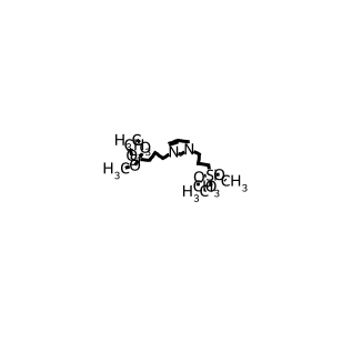 CO[Si](CCCN1C=CCN(CCC[Si](OC)(OC)OC)C1)(OC)OC